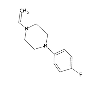 C=CN1CCN(c2ccc(F)cc2)CC1